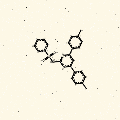 Cc1ccc(-c2cc(-c3ccc(C)cc3)nc(NS(=O)(=O)c3ccccc3)n2)cc1